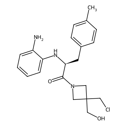 Cc1ccc(C[C@H](Nc2ccccc2N)C(=O)N2CC(CO)(CCl)C2)cc1